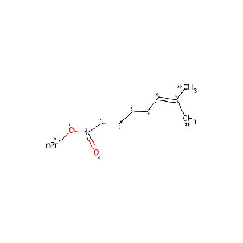 CCCOC(=O)CCCCC=C(C)C